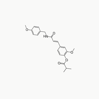 COc1ccc(CNC(=O)/C=C/c2ccc(OC(=O)C(C)C)c(OC)c2)cc1